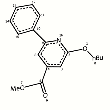 CCCCOc1cc(C(=O)OC)cc(-c2ccccc2)n1